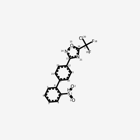 O=[SH](=O)c1ccccc1-c1ccc(-c2noc(C(F)(F)Cl)n2)cc1